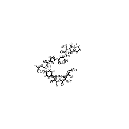 CC[C@H](C)[C@H](NC(=O)[C@@]1(C)CCCN1C)C(=O)N(C)[C@H](C[C@@H](OC(C)=O)c1nc(C(=O)N[C@@H](Cc2ccc(NC(=O)[C@H](C)NC(=O)[C@@H](NC(=O)OC(C)(C)C)C(C)C)cc2)C[C@H](C)C(=O)O)cs1)C(C)C